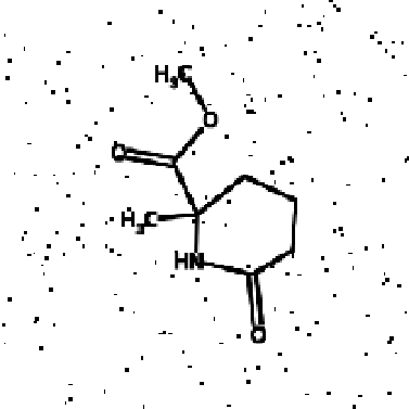 COC(=O)C1(C)CCCC(=O)N1